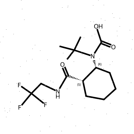 CC(C)(C)N(C(=O)O)[C@@H]1CCCC[C@@H]1C(=O)NCC(F)(F)F